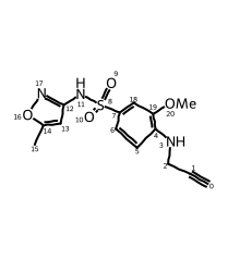 C#CCNc1ccc(S(=O)(=O)Nc2cc(C)on2)cc1OC